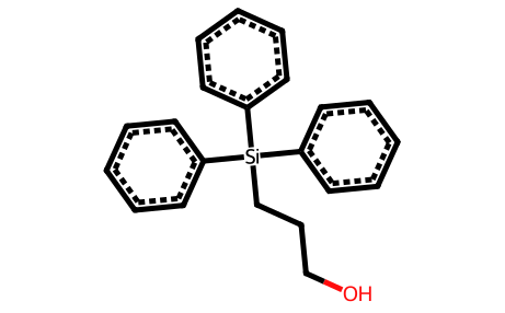 OCCC[Si](c1ccccc1)(c1ccccc1)c1ccccc1